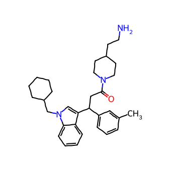 Cc1cccc(C(CC(=O)N2CCC(CCN)CC2)c2cn(CC3CCCCC3)c3ccccc23)c1